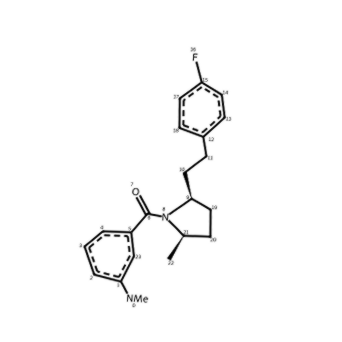 CNc1cccc(C(=O)N2[C@@H](CCc3ccc(F)cc3)CC[C@H]2C)c1